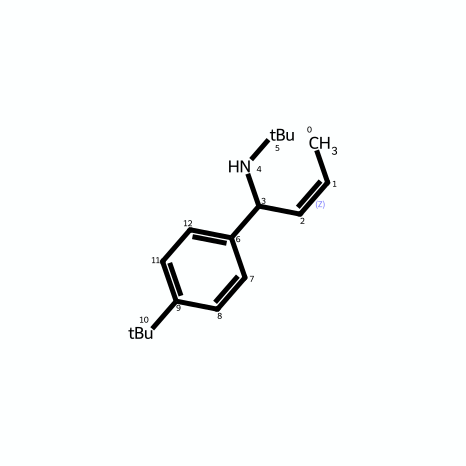 C/C=C\C(NC(C)(C)C)c1ccc(C(C)(C)C)cc1